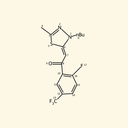 CCCCN1N=C(C)SC1=CC(=O)c1cc(C(F)(F)F)ccc1F